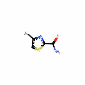 CC(=O)c1csc(C(N)=O)n1